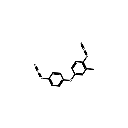 Cc1cc(Oc2ccc(N=C=O)cc2)ccc1N=C=O